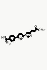 COC(=O)CCc1cn(-c2ccc(-c3ccc(C(=N)N)cc3)nn2)cn1